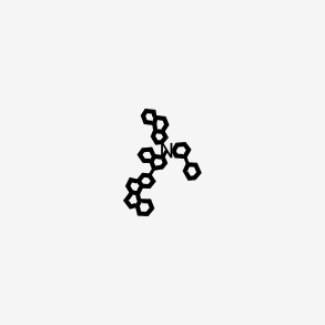 c1ccc(-c2cccc(N(c3ccc4c(ccc5ccccc54)c3)c3ccc(-c4ccc5c(ccc6ccc7ccccc7c65)c4)c4ccccc34)c2)cc1